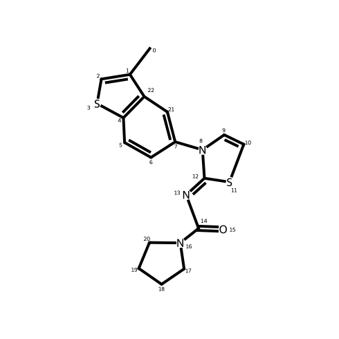 Cc1csc2ccc(-n3ccsc3=NC(=O)N3CCCC3)cc12